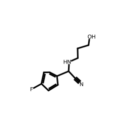 N#CC(NCCCO)c1ccc(F)cc1